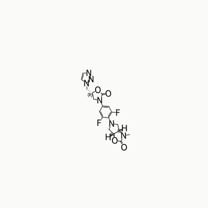 CN1C(=O)O[C@@H]2CN(c3c(F)cc(N4C[C@H](Cn5ccnn5)OC4=O)cc3F)C[C@@H]21